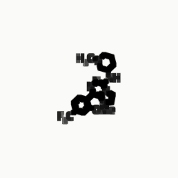 COc1cc(C(F)(F)F)ccc1-c1nnc(N[C@@H]2CCCN(C)C2)n2ccnc12